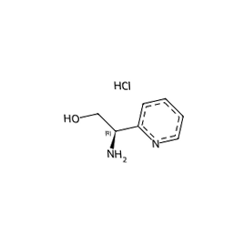 Cl.N[C@@H](CO)c1ccccn1